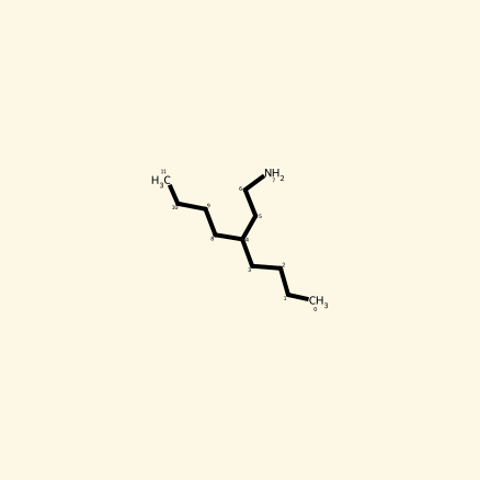 CCCCC(CCN)CCCC